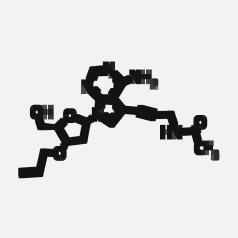 C=CCO[C@@H]1C[C@H](n2cc(C#CCNC(=O)C(F)(F)F)c3c(N)ncnc32)O[C@@H]1CO